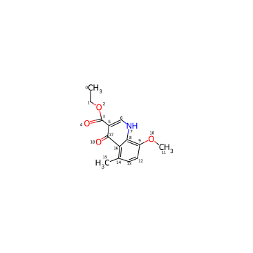 CCOC(=O)c1c[nH]c2c(OC)ccc(C)c2c1=O